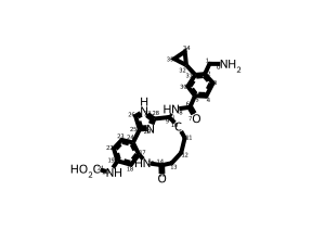 NCc1ccc(C(=O)N[C@H]2CCCCC(=O)Nc3cc(NC(=O)O)ccc3-c3c[nH]c2n3)cc1C1CC1